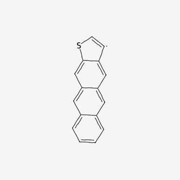 [c]1csc2cc3cc4ccccc4cc3cc12